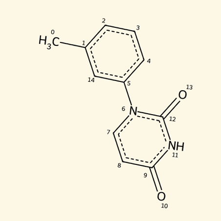 Cc1cccc(-n2ccc(=O)[nH]c2=O)c1